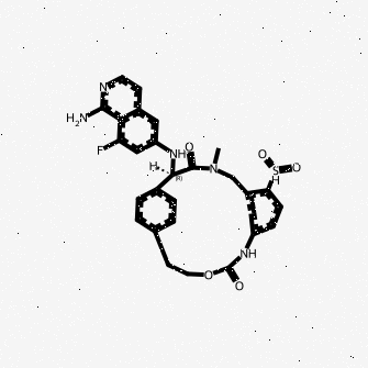 CN1Cc2cc(ccc2[SH](=O)=O)NC(=O)OCCc2ccc(cc2)[C@@H](Nc2cc(F)c3c(N)nccc3c2)C1=O